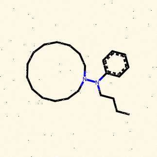 CCCCN(c1ccccc1)N1CCCCCCCCCCCCC1